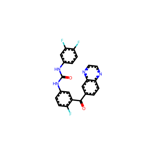 O=C(Nc1ccc(F)c(F)c1)Nc1ccc(F)c(C(=O)c2ccc3nccnc3c2)c1